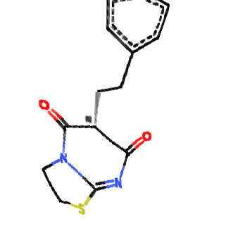 O=C1N=C2SCCN2C(=O)[C@@H]1CCc1ccccc1